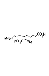 CCCCCCCCCCCCCCCCCC(=O)O.O=C(O)[CH2][Na]